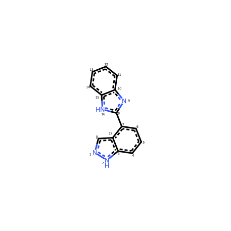 [c]1n[nH]c2cccc(-c3nc4ccccc4[nH]3)c12